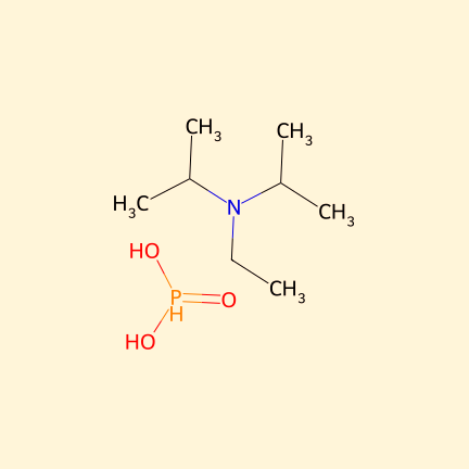 CCN(C(C)C)C(C)C.O=[PH](O)O